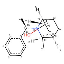 C[C@H](c1ccccc1)N1[C@H](C)[C@@H]2CC[C@H]1[C@@H](O)C2